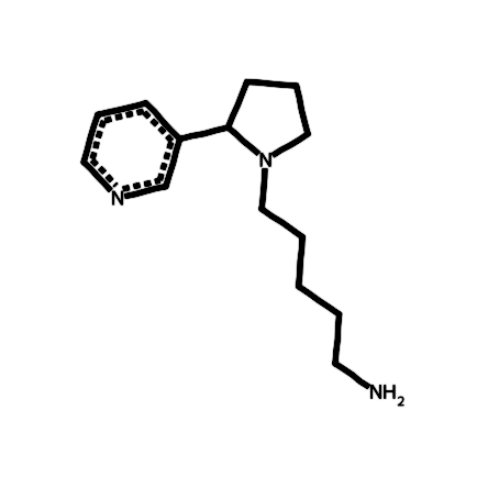 NCCCCCN1CCCC1c1cccnc1